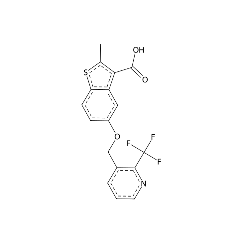 Cc1sc2ccc(OCc3cccnc3C(F)(F)F)cc2c1C(=O)O